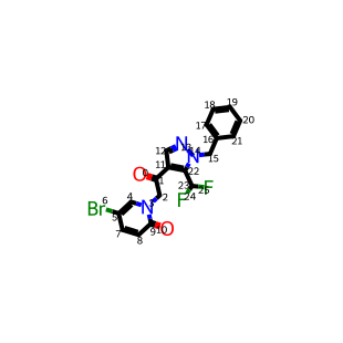 O=C(Cn1cc(Br)ccc1=O)c1cnn(Cc2ccccc2)c1C(F)F